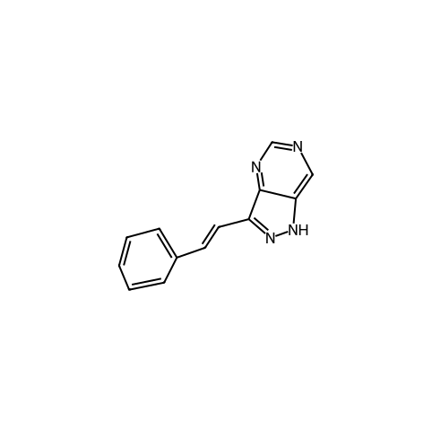 C(=Cc1n[nH]c2cncnc12)c1ccccc1